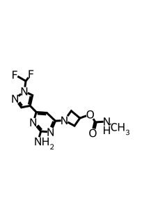 CNC(=O)OC1CN(c2cc(-c3cnn(C(F)F)c3)nc(N)n2)C1